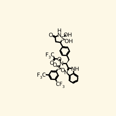 O=C1CC(c2ccc(C[C@@H](c3nc4ccccc4[nH]3)N(OC(=O)C(F)(F)F)S(=O)(=O)c3cc(C(F)(F)F)cc(C(F)(F)F)c3)cc2)S(O)(O)N1